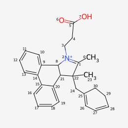 CC1=[N+](CCC(=O)O)C2c3ccccc3-c3ccccc3C2C1(C)CC1=CC=CCC1